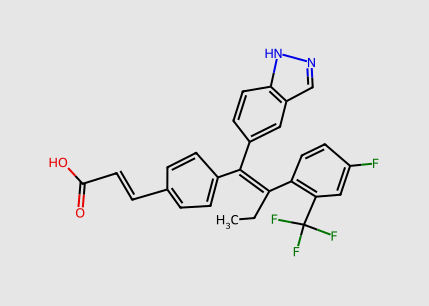 CCC(=C(c1ccc(C=CC(=O)O)cc1)c1ccc2[nH]ncc2c1)c1ccc(F)cc1C(F)(F)F